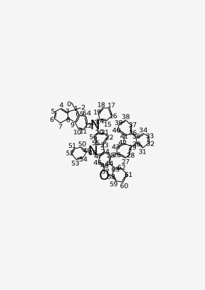 CC1(C)C2=CC=CCC2c2ccc(N(c3ccccc3)c3ccc4c5c(-c6ccc7c8ccccc8c8ccccc8c7c6)c6c(cc5n(-c5ccccc5)c4c3)oc3ccccc36)cc21